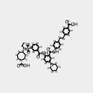 CCN([C@@H]1CCC[C@@H](C(=O)O)CC1)S(=O)(=O)c1cccc(C(=O)Nc2ccc(N3CCCCC3)cc2C(=O)Nc2ccc(CCc3ccc(C(=O)O)cc3)cc2)c1